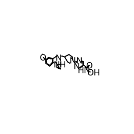 C=CNc1ccc(OC)cc1CNCC1CCN(c2ncc(C(=O)NO)cn2)CC1